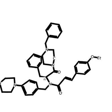 CCOc1ccc(C=CC(=O)N(Cc2ccc(N3CCN(C(C)=O)CC3)cc2)[C@@H](Cc2ccccc2)C(=O)N2CCN(Cc3ccccc3)CC2)cc1